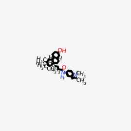 Cc1cc2cc(NC(=O)CCC[C@@]34CC[C@@H]5C[C@@H](O)CC[C@H]5[C@H]3CC(C)(C)C(C)(C)C4C)ccc2n1C